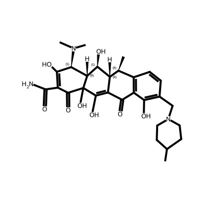 CC1CCN(Cc2ccc3c(c2O)C(=O)C2=C(O)C4(O)C(=O)C(C(N)=O)=C(O)[C@@H](N(C)C)[C@@H]4[C@@H](O)[C@@H]2[C@H]3C)CC1